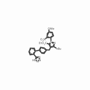 CCCCc1nn(-c2ccc(OC)cc2[N+](=O)[O-])c(C(=O)OCC)c1Cc1ccc(-c2ccccc2-c2nnn[nH]2)cc1